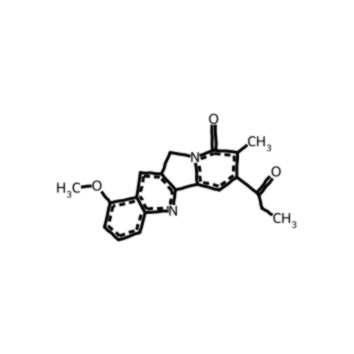 CCC(=O)c1cc2n(c(=O)c1C)Cc1cc3c(OC)cccc3nc1-2